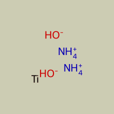 [NH4+].[NH4+].[OH-].[OH-].[Ti]